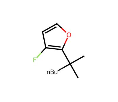 CCCCC(C)(C)c1occc1F